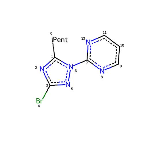 CCCC(C)c1nc(Br)nn1-c1ncccn1